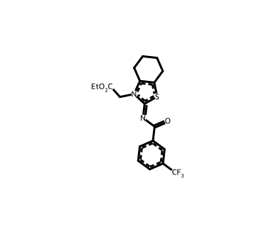 CCOC(=O)Cn1c2c(s/c1=N\C(=O)c1cccc(C(F)(F)F)c1)CCCC2